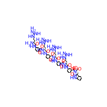 COc1ccc(NC(=O)[C@H](CCCNC(=N)N)NC(=O)c2cc(NC(=O)[C@H](CCCNC(=N)N)NC(=O)c3cc(NC(=O)[C@H](CCCNC(=N)N)NC(=O)c4cc(NC(=O)[C@@H](N)CCCNC(=N)N)ccc4OC)ccc3OC)ccc2OC)cc1C(=O)N[C@@H](Cc1c[nH]c2ccccc12)C(=O)O